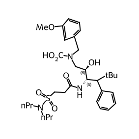 CCCN(CCC)S(=O)(=O)CCC(=O)N[C@@H](C(c1ccccc1)C(C)(C)C)[C@H](O)CN(Cc1cccc(OC)c1)C(=O)O